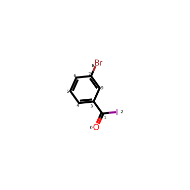 O=C(I)c1cccc(Br)c1